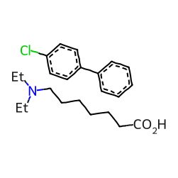 CCN(CC)CCCCCCC(=O)O.Clc1ccc(-c2ccccc2)cc1